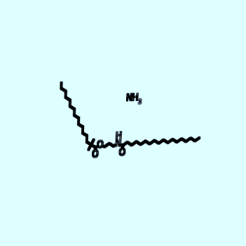 CCCCCCCCCCCCCCCCCC(=O)NCCCOC(=O)C(C)(C)CCCCCCCCCCCCCC.N